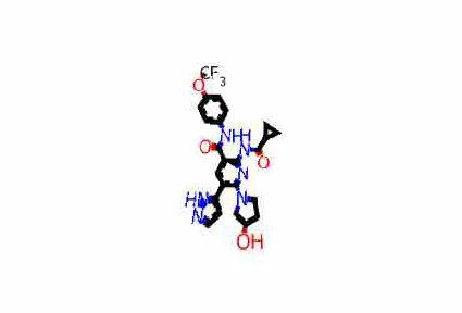 O=C(Nc1ccc(OC(F)(F)F)cc1)c1cc(-c2ccn[nH]2)c(N2CCC(O)C2)nc1NC(=O)C1CC1